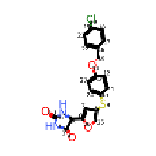 O=C1NC(=O)C(c2cc(Sc3ccc(OCc4ccc(Cl)cc4)cc3)co2)N1